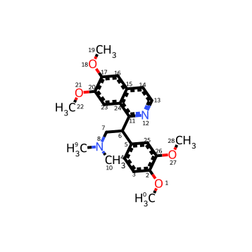 COc1ccc(C(CN(C)C)c2nccc3cc(OC)c(OC)cc23)cc1OC